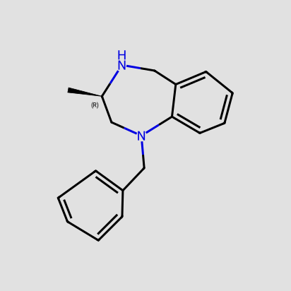 C[C@@H]1CN(Cc2ccccc2)c2ccccc2CN1